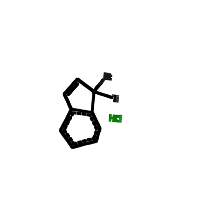 CC[C]1([Ti])C=Cc2ccccc21.Cl